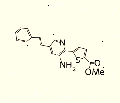 COC(=O)c1ccc(-c2ncc(C=Cc3ccccc3)cc2N)s1